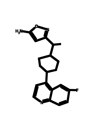 CC(c1cc(N)on1)C1CCC(c2ccnc3ccc(F)cc23)CC1